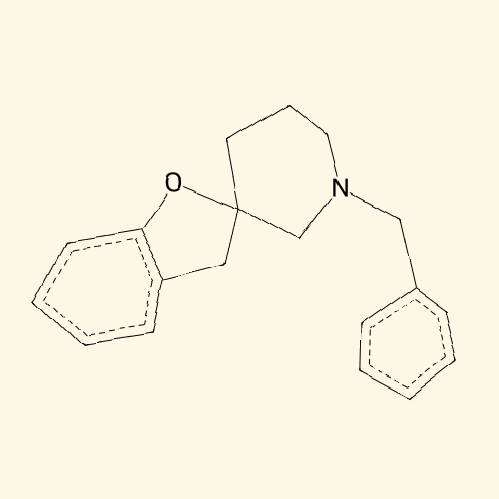 c1ccc(CN2CCCC3(Cc4ccccc4O3)C2)cc1